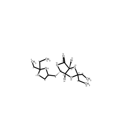 CCC1(CC)OCC(C[C@@H]2OC(=O)[C@@H]3OC(CC)(CC)O[C@H]23)O1